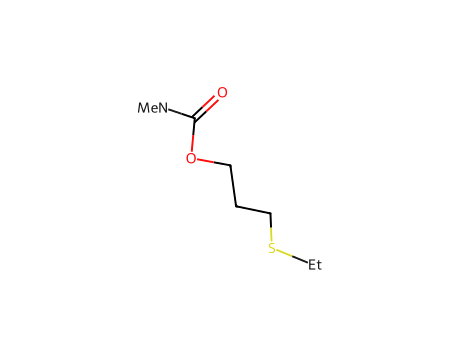 CCSCCCOC(=O)NC